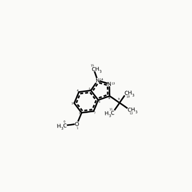 COc1ccc2c(c1)c(C(C)(C)C)nn2C